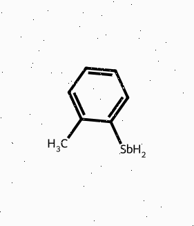 Cc1cccc[c]1[SbH2]